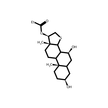 CCC(=O)O[C@H]1CSC2C3C(CC[C@@]21C)[C@@]1(C)CC[C@H](O)CC1C[C@@H]3O